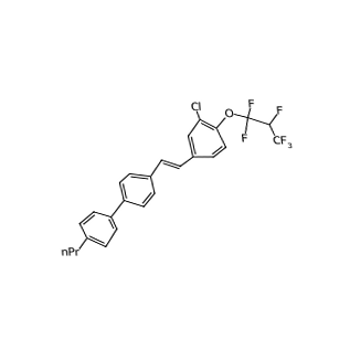 CCCc1ccc(-c2ccc(/C=C/c3ccc(OC(F)(F)C(F)C(F)(F)F)c(Cl)c3)cc2)cc1